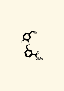 COC(=O)c1cccc(COc2cc(CBr)ccc2F)c1